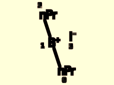 CCC[B+]CCC.[I-]